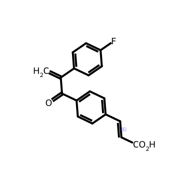 C=C(C(=O)c1ccc(/C=C/C(=O)O)cc1)c1ccc(F)cc1